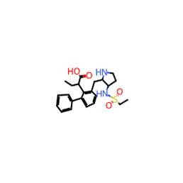 CCC(C(=O)O)c1c(CC2NCCC2NS(=O)(=O)CC)cccc1-c1ccccc1